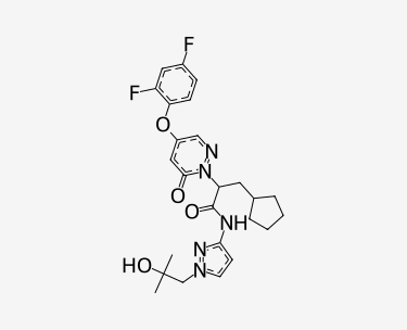 CC(C)(O)Cn1ccc(NC(=O)C(CC2CCCC2)n2ncc(Oc3ccc(F)cc3F)cc2=O)n1